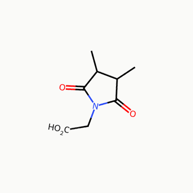 CC1C(=O)N(CC(=O)O)C(=O)C1C